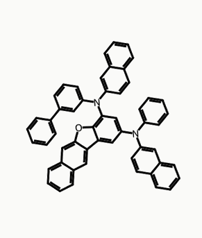 c1ccc(-c2cccc(N(c3ccc4ccccc4c3)c3cc(N(c4ccccc4)c4ccc5ccccc5c4)cc4c3oc3cc5ccccc5cc34)c2)cc1